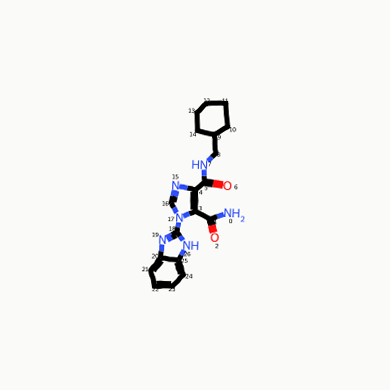 NC(=O)c1c(C(=O)NCC2CCCCC2)ncn1-c1nc2ccccc2[nH]1